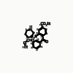 C1CCNCC1.CCOC(=O)c1ccc(C(=O)c2ccccc2)c([N+](=O)[O-])c1.CCOC=O